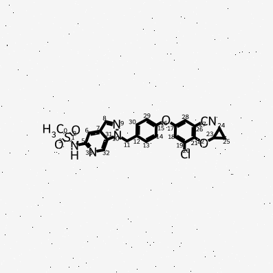 CS(=O)(=O)Nc1cc2cnn(Cc3ccc(Oc4cc(Cl)c(OC5CC5)c(C#N)c4)cc3)c2cn1